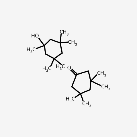 CC1(C)CC(=O)CC(C)(C)C1.CC1(C)CC(C)(C)CC(C)(O)C1